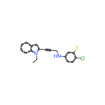 CCn1c(C#CCNc2ccc(Cl)c(F)c2)cc2ccccc21